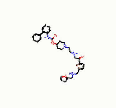 O=C(Nc1ccccc1-c1ccccc1)OC1CCN(CCNCC(=O)c2ccc(CNCc3ccco3)s2)CC1